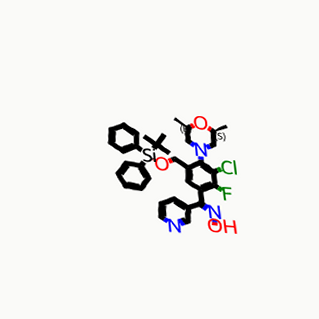 C[C@@H]1CN(c2c(CO[Si](c3ccccc3)(c3ccccc3)C(C)(C)C)cc(C(=NO)c3cccnc3)c(F)c2Cl)C[C@H](C)O1